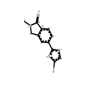 CN1Cc2cc(-c3ncc(I)s3)ccc2C1=O